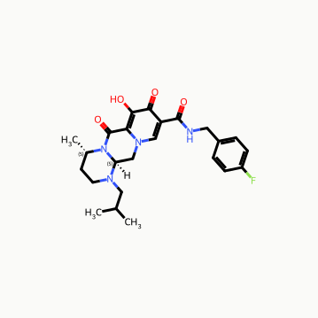 CC(C)CN1CC[C@H](C)N2C(=O)c3c(O)c(=O)c(C(=O)NCc4ccc(F)cc4)cn3C[C@@H]12